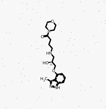 Cc1n[nH]c2cccc(OC[C@@H](O)CNCCCC(=O)N3CCOCC3)c12